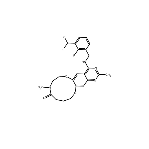 Cc1nc(NCc2cccc(C(F)F)c2F)c2cc3c(cc2n1)OCCCC(=O)N(C)CCO3